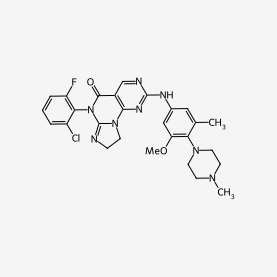 COc1cc(Nc2ncc3c(n2)N2CCN=C2N(c2c(F)cccc2Cl)C3=O)cc(C)c1N1CCN(C)CC1